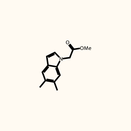 COC(=O)Cn1ccc2cc(C)c(C)cc21